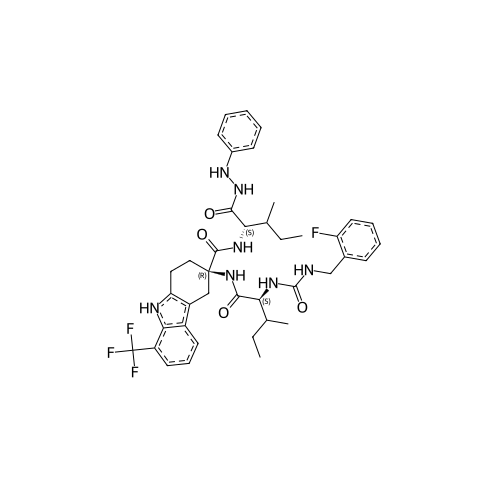 CCC(C)[C@H](NC(=O)NCc1ccccc1F)C(=O)N[C@]1(C(=O)N[C@H](C(=O)NNc2ccccc2)C(C)CC)CCc2[nH]c3c(C(F)(F)F)cccc3c2C1